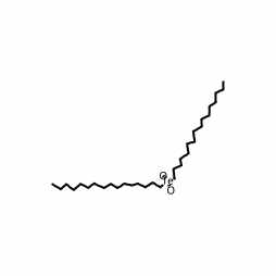 CCCCCCCCCCCCCCCC[Te](=O)(=O)CCCCCCCCCCCCCCCC